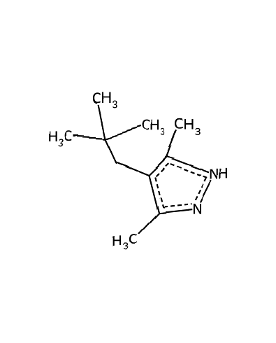 Cc1n[nH]c(C)c1CC(C)(C)C